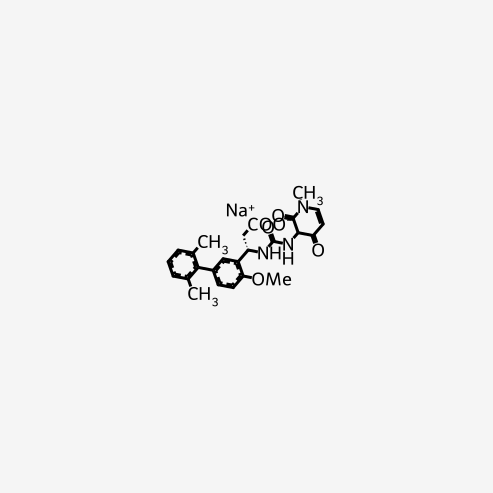 COc1ccc(-c2c(C)cccc2C)cc1[C@H](CC(=O)[O-])NC(=O)NC1C(=O)C=CN(C)C1=O.[Na+]